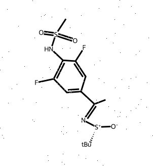 C/C(=N\[S@+]([O-])C(C)(C)C)c1cc(F)c(NS(C)(=O)=O)c(F)c1